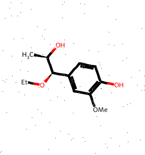 CCO[C@H](c1ccc(O)c(OC)c1)[C@@H](C)O